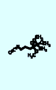 COC(O)(CCCN=C=O)C([SiH3])(OC)OC